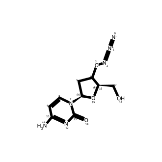 [N-]=[N+]=NOC1C[C@H](n2ccc(N)nc2=O)O[C@@H]1CO